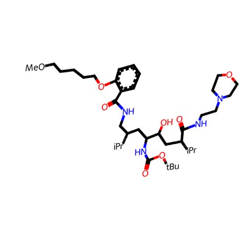 COCCCCCOc1ccccc1C(=O)NCC(CC(NC(=O)OC(C)(C)C)C(O)CC(C(=O)NCCN1CCOCC1)C(C)C)C(C)C